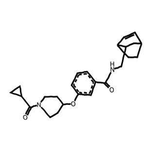 O=C(NCC1CC2C=CC1CC2)c1cccc(OC2CCN(C(=O)C3CC3)CC2)c1